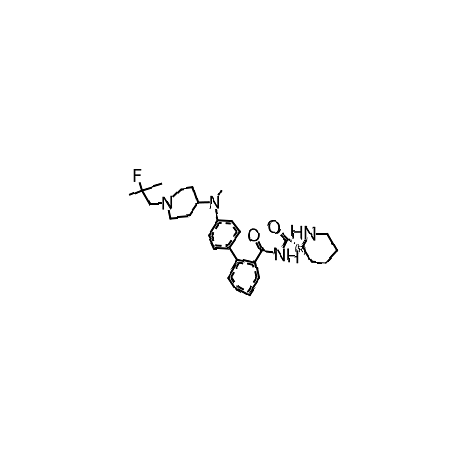 CN(c1ccc(-c2ccccc2C(=O)NC(=O)[C@H]2CCCCN2)cc1)C1CCN(CC(C)(C)F)CC1